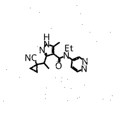 CCN(C(=O)c1c(C(C)C2(C#N)CC2)n[nH]c1C)c1ccnnc1